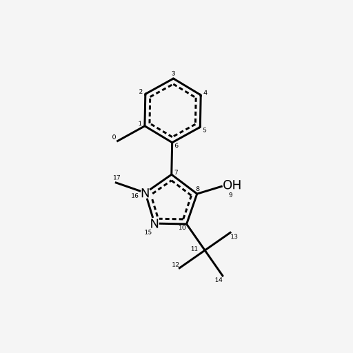 Cc1ccccc1-c1c(O)c(C(C)(C)C)nn1C